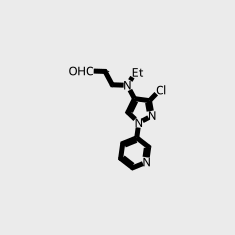 CCN(C[CH]C=O)c1cn(-c2cccnc2)nc1Cl